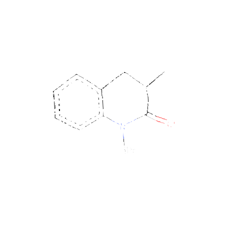 CC1Cc2ccccc2N(C(C)C)C1=O